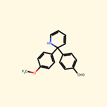 O=Cc1ccc(C2(c3ccc(OC(F)(F)F)cc3)C=CC=CN2)cc1